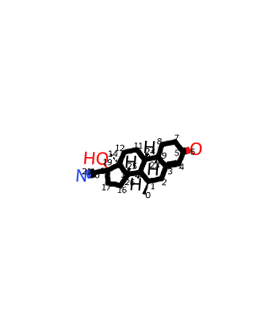 C[C@@H]1CC2=CC(=O)CC[C@@H]2[C@H]2CC[C@@]3(C)[C@@H](CC[C@@]3(O)C#N)[C@@H]21